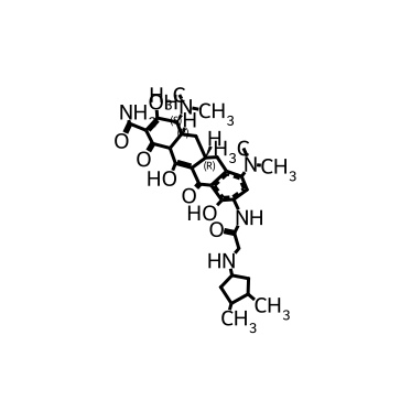 CC1CC(NCC(=O)Nc2cc(N(C)C)c3c(c2O)C(=O)C2=C(O)C4C(=O)C(C(N)=O)=C(O)[C@@H](N(C)C)[C@@H]4C[C@@H]2C3)CC1C